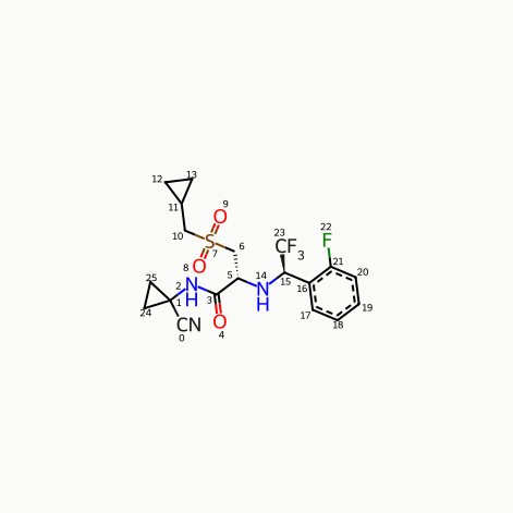 N#CC1(NC(=O)[C@H](CS(=O)(=O)CC2CC2)N[C@H](c2ccccc2F)C(F)(F)F)CC1